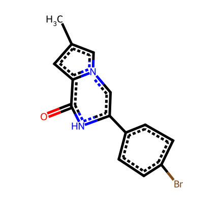 Cc1cc2c(=O)[nH]c(-c3ccc(Br)cc3)cn2c1